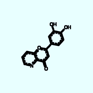 O=c1cc(-c2ccc(O)c(O)c2)oc2cccnc12